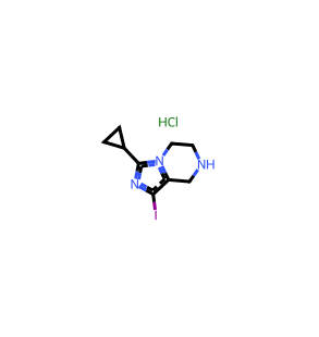 Cl.Ic1nc(C2CC2)n2c1CNCC2